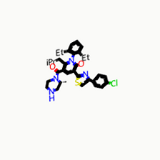 CCc1cccc(CC)c1-n1c(CC(C)C)c(C(=O)N2CCNC[C@H]2C)cc(-c2nc(-c3ccc(Cl)cc3)cs2)c1=O